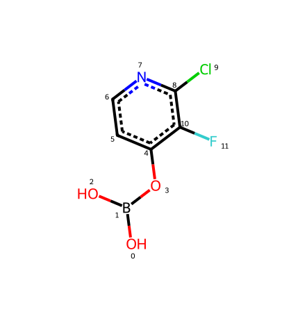 OB(O)Oc1ccnc(Cl)c1F